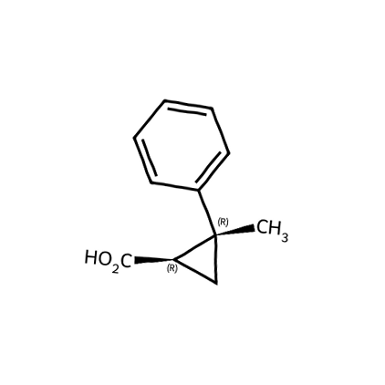 C[C@@]1(c2ccccc2)C[C@H]1C(=O)O